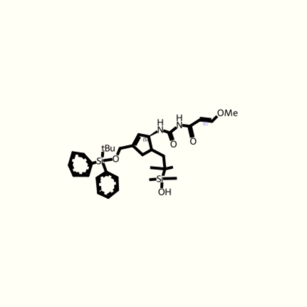 CO/C=C/C(=O)NC(=O)N[C@@H]1C=C(CO[Si](c2ccccc2)(c2ccccc2)C(C)(C)C)CC1CC(C)(C)[Si](C)(C)O